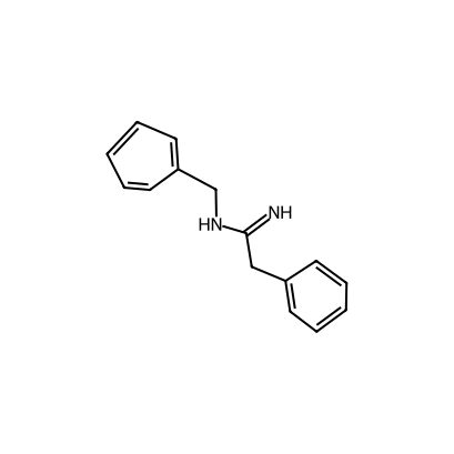 N=C(Cc1ccccc1)NCc1ccccc1